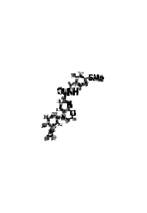 CSc1ccc(CNC(=O)c2ccc3c(n2)OCCN3c2cccc(C3CC3)c2)cc1